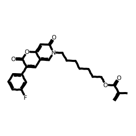 C=C(C)C(=O)OCCCCCCCn1cc2cc(-c3cccc(F)c3)c(=O)oc2cc1=O